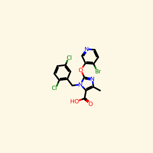 Cc1nc(Oc2cnccc2Br)n(Cc2cc(Cl)ccc2Cl)c1C(=O)O